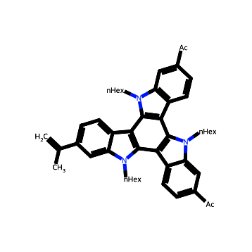 C=C(C)c1ccc2c3c(c4c5ccc(C(C)=O)cc5n(CCCCCC)c4c4c5ccc(C(C)=O)cc5n(CCCCCC)c34)n(CCCCCC)c2c1